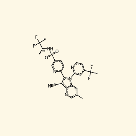 Cc1cnc2c(C#N)c(-c3ccc(S(=O)(=O)N[C@@H](C)C(F)(F)F)cn3)n(-c3cc(C(F)(F)F)ccn3)c2c1